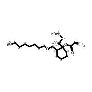 C=CC(=O)OC1(C(=O)OCCCCCCCCCC)CCCCC1C(=O)OCCCCCCCC(C)C